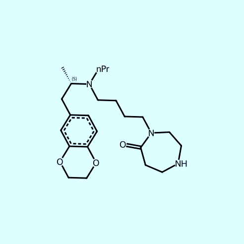 CCCN(CCCCN1CCNCCC1=O)[C@@H](C)Cc1ccc2c(c1)OCCO2